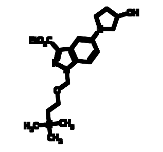 CCOC(=O)c1nn(COCC[Si](C)(C)C)c2ccc(N3CCC(O)C3)cc12